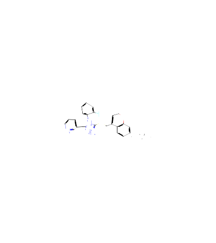 COc1ccc2c(c1)OCC=C2CSc1nnc(-c2cccnc2)n1-c1ccccc1F